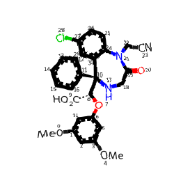 COc1cc(OC)cc(O[C@H](C(=O)O)[C@@]2(c3ccccc3)NCC(=O)N(CC#N)c3ccc(Cl)cc32)c1